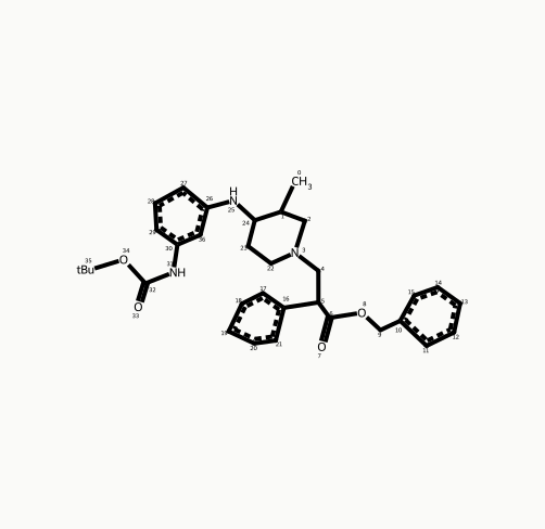 CC1CN(CC(C(=O)OCc2ccccc2)c2ccccc2)CCC1Nc1cccc(NC(=O)OC(C)(C)C)c1